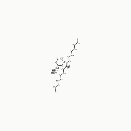 Br.Br.Br.C1CCOOC1.CCCCCCCCCCCCCCCCCC.N